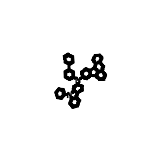 c1ccc(-c2cccc(N(c3ccc4c(c3)-c3cccc5cc6ccccc6c-4c35)c3ccc4c5ccccc5n(-c5ccccc5)c4c3)c2)cc1